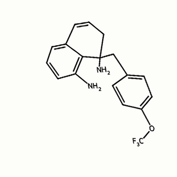 Nc1cccc2c1C(N)(Cc1ccc(OC(F)(F)F)cc1)CC=C2